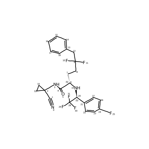 N#CC1(NC(=O)[C@H](CCC(F)(F)Cc2ccccc2)N[C@@H](c2ccc(F)cc2)C(F)(F)F)CC1